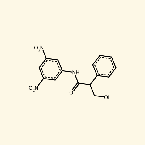 O=C(Nc1cc([N+](=O)[O-])cc([N+](=O)[O-])c1)C(CO)c1ccccc1